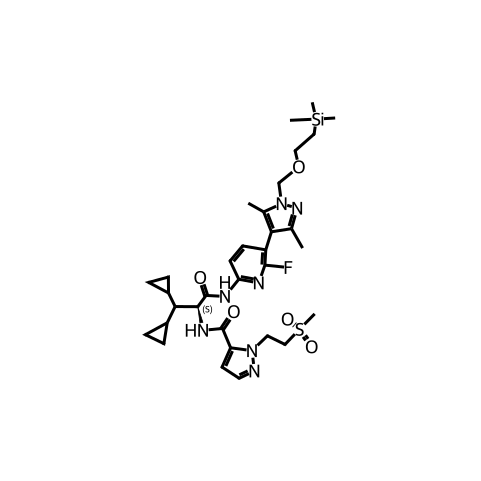 Cc1nn(COCC[Si](C)(C)C)c(C)c1-c1ccc(NC(=O)[C@@H](NC(=O)c2ccnn2CCS(C)(=O)=O)C(C2CC2)C2CC2)nc1F